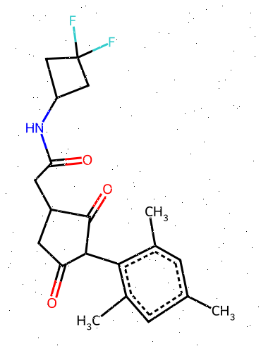 Cc1cc(C)c(C2C(=O)CC(CC(=O)NC3CC(F)(F)C3)C2=O)c(C)c1